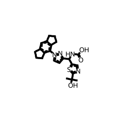 CC(C)(O)c1ncc(C(NC(=O)O)c2ccn(-c3c4c(cc5c3CCC5)CCC4)n2)s1